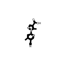 Cc1cc(-n2ncc(C(=O)O)c2C)ncc1C#N